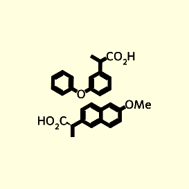 CC(C(=O)O)c1cccc(Oc2ccccc2)c1.COc1ccc2cc([C@H](C)C(=O)O)ccc2c1